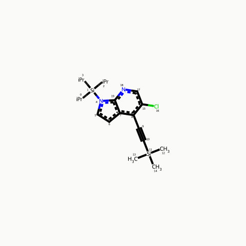 CC(C)[Si](C(C)C)(C(C)C)n1ccc2c(C#C[Si](C)(C)C)c(Cl)cnc21